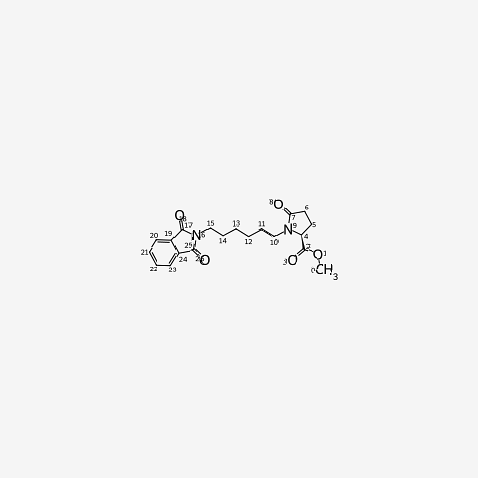 COC(=O)[C@@H]1CCC(=O)N1CCCCCCN1C(=O)c2ccccc2C1=O